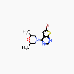 CC1CN(c2ncnc3sc(Br)cc23)CC(C)O1